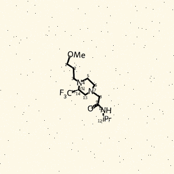 COCCCN1CCN(CC(=O)NC(C)C)C[C@H]1C(F)(F)F